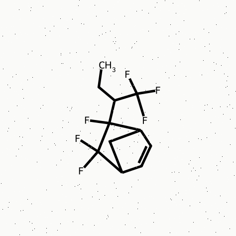 CCC(C(F)(F)F)C1(F)C2C=CC(C2)C1(F)F